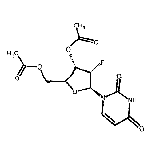 CC(=O)OC[C@@H]1O[C@H](n2ccc(=O)[nH]c2=O)[C@@H](F)[C@H]1OC(C)=O